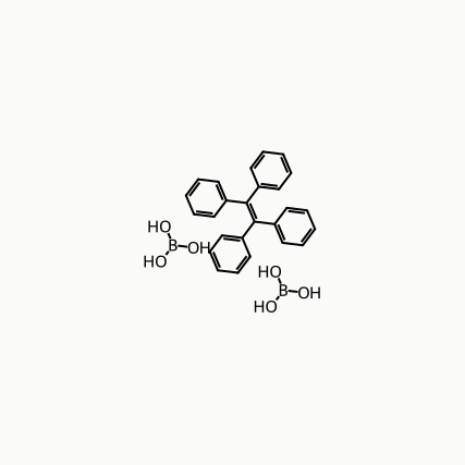 OB(O)O.OB(O)O.c1ccc(C(=C(c2ccccc2)c2ccccc2)c2ccccc2)cc1